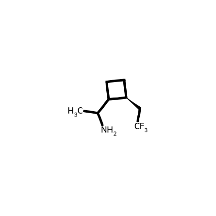 CC(N)C1CC[C@H]1CC(F)(F)F